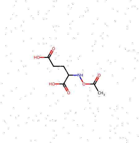 CC(=O)ONC(CCC(=O)O)C(=O)O